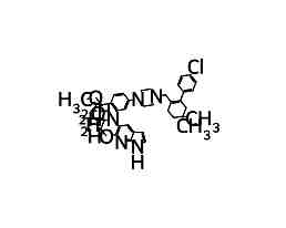 [2H]C1([2H])Oc2nc3[nH]ccc3cc2N(c2cc(N3CCN(CC4=C(c5ccc(Cl)cc5)CC(C)(C)CC4)CC3)ccc2C(=O)OC)C1([2H])[2H]